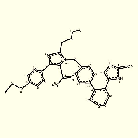 CCCCc1nc(-c2ncc(OCC)cn2)c(C(=O)O)n1Cc1ccc(-c2ccccc2-c2noc(=O)[nH]2)cc1